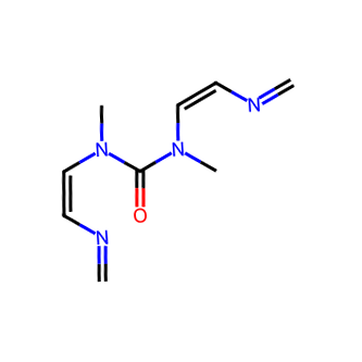 C=N/C=C\N(C)C(=O)N(C)/C=C\N=C